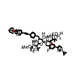 COC(=O)NC(C(=O)NC(Cc1ccc(C#Cc2ccc(N3CC4CC(C3)N4C3COC3)nc2)cc1)C(O)CN(Cc1c(F)cc(-c2ccn(C3CC3)n2)cc1F)NC(=O)C(NC(=O)O)C(C)(C)C(F)(F)F)C(C)(C)C(F)(F)F